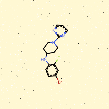 Fc1cc(Br)ccc1NC1CCN(c2ncccn2)CC1